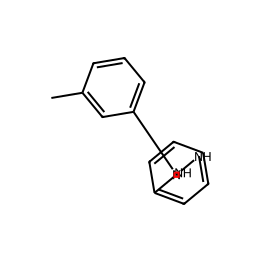 Cc1cccc(-n2[nH]c3ccc(cc3)[nH]2)c1